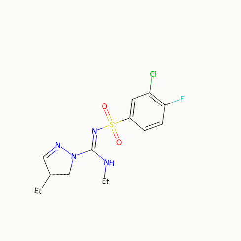 CCN/C(=N\S(=O)(=O)c1ccc(F)c(Cl)c1)N1CC(CC)C=N1